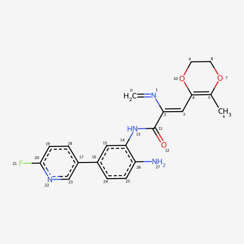 C=N/C(=C\C1=C(C)OCCO1)C(=O)Nc1cc(-c2ccc(F)nc2)ccc1N